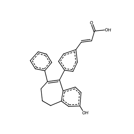 O=C(O)C=Cc1ccc(C2=C(c3ccccc3)CCCc3cc(O)ccc32)cc1